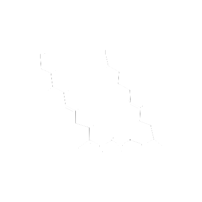 CC(CCC=CCCCCI)OCOCOC(C)CCC=CCCCCI